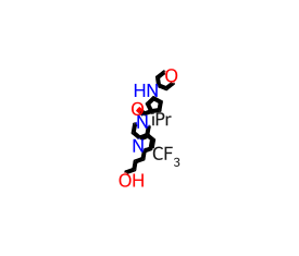 CC(C)[C@]1(C(=O)N2CCc3nc(CCCCO)c(C(F)(F)F)cc3C2)CC[C@@H](NC2CCOCC2)C1